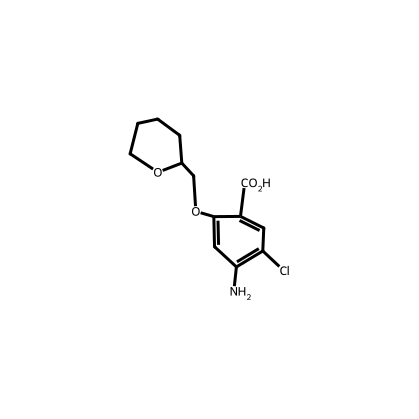 Nc1cc(OCC2CCCCO2)c(C(=O)O)cc1Cl